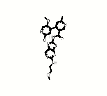 COCCNc1ncc2nc(NC(=O)c3cnc(C)cc3-c3cc(Cl)ncc3OC)sc2n1